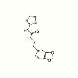 S=C(NCCc1ccc2c(c1)OCO2)Nc1nccs1